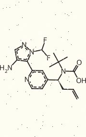 C=CC[C@@H](c1ccnc(-c2c(N)cnn2C(F)F)c1)N(C(=O)O)C(C)(C)C